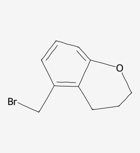 BrCc1cccc2c1CCCO2